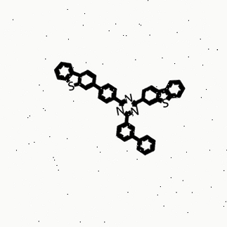 C1=CC2c3ccccc3SC2C=C1c1ccc(-c2nc(-c3cccc(-c4ccccc4)c3)nc(C3C=c4sc5ccccc5c4=CC3)n2)cc1